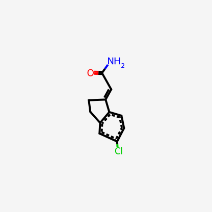 NC(=O)C=C1CCc2cc(Cl)ccc21